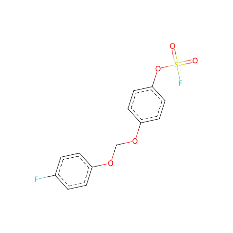 O=S(=O)(F)Oc1ccc(OCOc2ccc(F)cc2)cc1